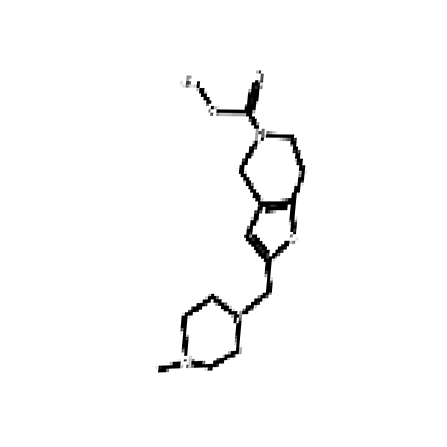 CN1CCN(Cc2cc3c(s2)CCN(C(=O)OC(C)(C)C)C3)CC1